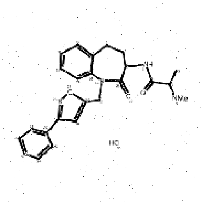 CNC(C)C(=O)NC1CCc2ccccc2N(Cc2cc(-c3ccccc3)no2)C1=O.Cl